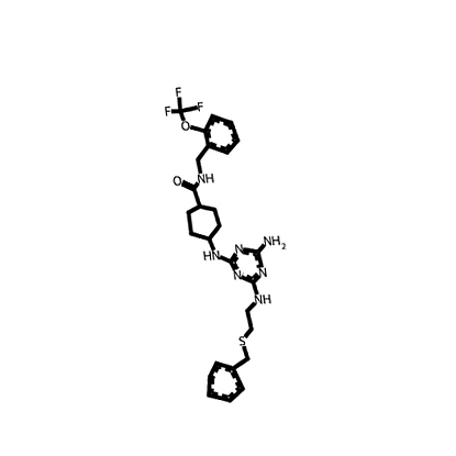 Nc1nc(NCCSCc2ccccc2)nc(NC2CCC(C(=O)NCc3ccccc3OC(F)(F)F)CC2)n1